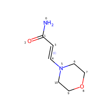 NC(=O)/C=C/N1CCOCC1